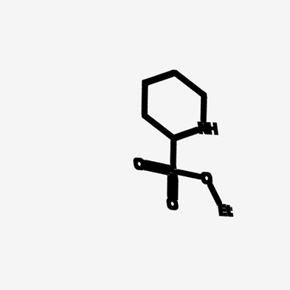 CCOS(=O)(=O)C1CCCCN1